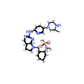 CC1CN(c2ccc(Nc3ncc4ccn(Cc5ccccc5N(C)S(C)(=O)=O)c4n3)nc2)CCN1